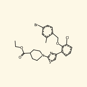 CCOC(=O)C1CCN(c2nc(-c3cccc(Cl)c3OCc3ccc(Br)cc3C)cs2)CC1